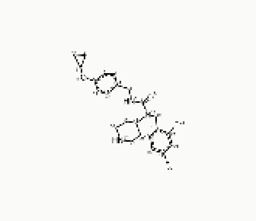 O=C(NCc1ccc(OC2CC2)cc1)N(Cc1ccc(F)cc1F)C1CCNCC1